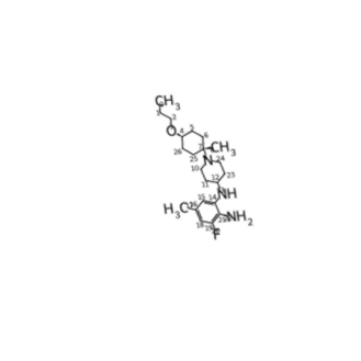 CCCO[C@H]1CC[C@](C)(N2CCC(Nc3cc(C)cc(F)c3N)CC2)CC1